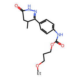 CCOCCCOC(=O)Nc1ccc(C2=NNC(=O)CC2C)cc1